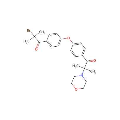 CC(C)(Br)C(=O)c1ccc(Oc2ccc(C(=O)C(C)(C)N3CCOCC3)cc2)cc1